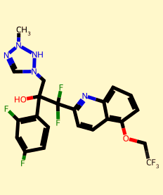 CN1N=CN(CC(O)(c2ccc(F)cc2F)C(F)(F)c2ccc3c(OCC(F)(F)F)cccc3n2)N1